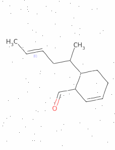 C/C=C/CC(C)C1CCC=CC1C=O